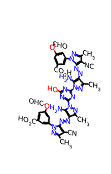 [C-]#[N+]c1c(C)nn(-c2cc(OC=O)cc(C(=O)O)c2)c1N=Nc1c(C)nn(-c2nc(O)nc(-n3nc(C)c(N=Nc4c(C#N)c(C)nn4-c4cc(OC=O)cc(C(=O)O)c4)c3N)n2)c1N